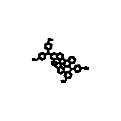 CC(C)(C)c1ccc(N(c2ccc(C(C)(C)C)cc2)c2ccc3c4c(ccc3c2)-c2c(cc(N(c3ccc(C(C)(C)C)cc3)c3ccc(C(C)(C)C)cc3)c3ccccc23)C42c3ccccc3-c3ccccc32)cc1